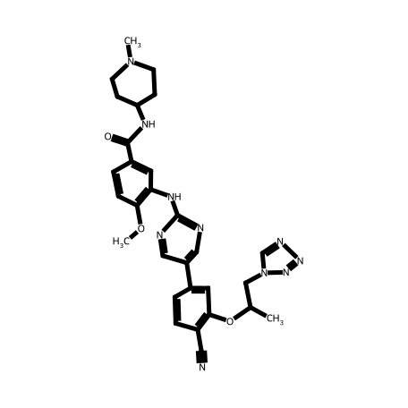 COc1ccc(C(=O)NC2CCN(C)CC2)cc1Nc1ncc(-c2ccc(C#N)c(OC(C)Cn3cnnn3)c2)cn1